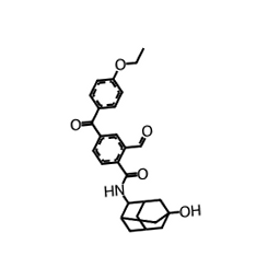 CCOc1ccc(C(=O)c2ccc(C(=O)NC3C4CC5CC3CC(O)(C5)C4)c(C=O)c2)cc1